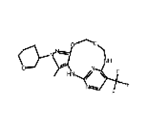 Cc1c2c(nn1C1CCCOC1)OCCCNc1nc(ncc1C(F)(F)F)N2